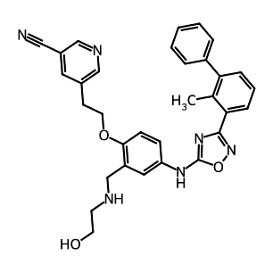 Cc1c(-c2ccccc2)cccc1-c1noc(Nc2ccc(OCCc3cncc(C#N)c3)c(CNCCO)c2)n1